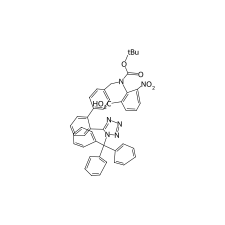 CC(C)(C)OC(=O)N(Cc1ccc(-c2ccccc2-c2nnnn2C(c2ccccc2)(c2ccccc2)c2ccccc2)cc1)c1c(C(=O)O)cccc1[N+](=O)[O-]